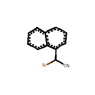 N#CC(Br)c1cccc2ccccc12